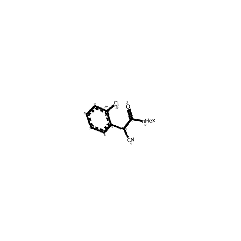 CCCCCCC(=O)C(C#N)c1ccccc1Cl